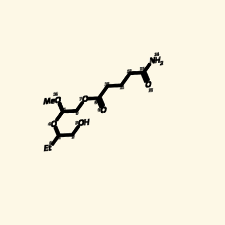 CCC(CO)OC(COC(=O)CCCC(N)=O)OC